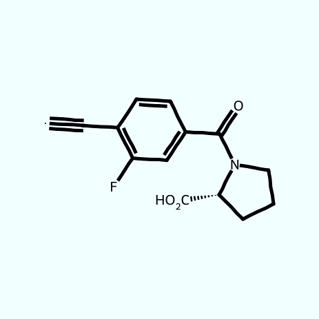 [C]#Cc1ccc(C(=O)N2CCC[C@@H]2C(=O)O)cc1F